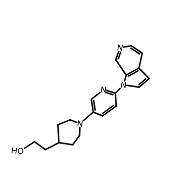 OCCC1CCN(c2ccc(-n3ccc4ccncc43)nc2)CC1